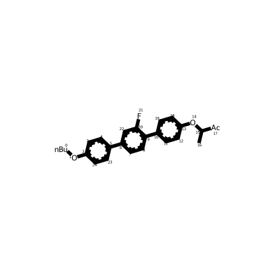 CCCCOc1ccc(-c2ccc(-c3ccc(OC(C)C(C)=O)cc3)c(F)c2)cc1